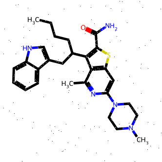 CCCCC(Cc1c[nH]c2ccccc12)c1c(C(N)=O)sc2cc(N3CCN(C)CC3)nc(C)c12